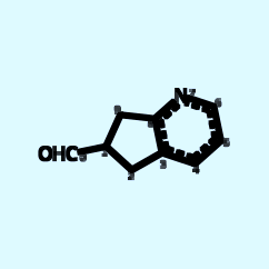 O=CC1Cc2cccnc2C1